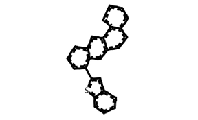 c1ccc2sc(-c3cccc4cc5c(ccc6ccccc65)cc34)cc2c1